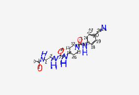 CC(=O)NCCNC(=O)NC1CCN(C(=O)Nc2ccc(C#N)cc2)CC1